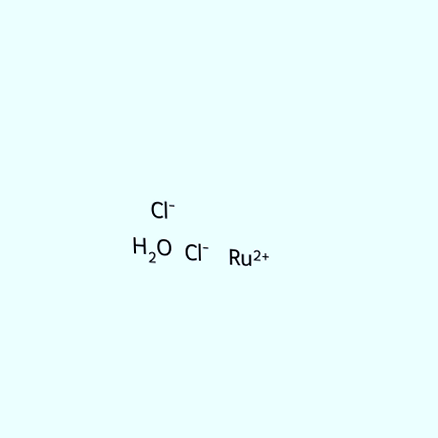 O.[Cl-].[Cl-].[Ru+2]